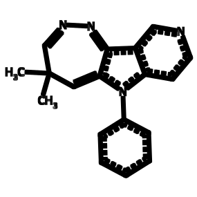 CC1(C)C=NN=c2c(n(-c3ccccc3)c3ccncc23)=C1